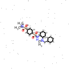 CN(Cc1ccccc1)c1ccccc1NS(=O)(=O)c1ccc(S(=O)(=O)N(C)C)cc1